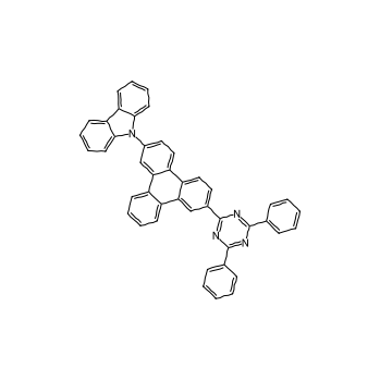 c1ccc(-c2nc(-c3ccccc3)nc(-c3ccc4c5ccc(-n6c7ccccc7c7ccccc76)cc5c5ccccc5c4c3)n2)cc1